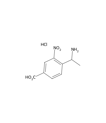 CC(N)c1ccc(C(=O)O)cc1[N+](=O)[O-].Cl